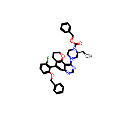 N#CC[C@H]1CN(c2ncnc3cc(-c4c(F)cccc4OCc4ccccc4)c4c(c23)OCCC4)CCN1C(=O)OCc1ccccc1